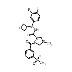 C[C@@H]1C[C@H](C(=O)N[C@@H](c2ccc(Cl)c(F)c2)C2COC2)N(C(=O)c2cccc(S(C)(=O)=O)c2)C1